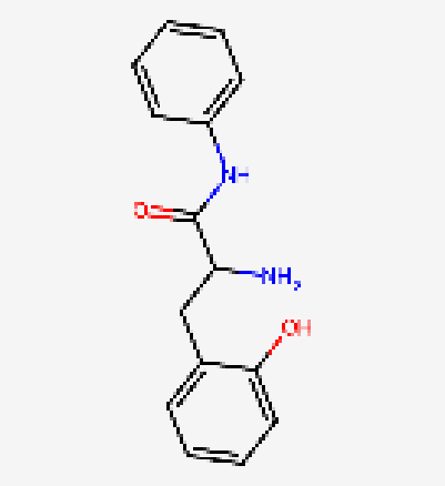 NC(Cc1ccccc1O)C(=O)Nc1ccccc1